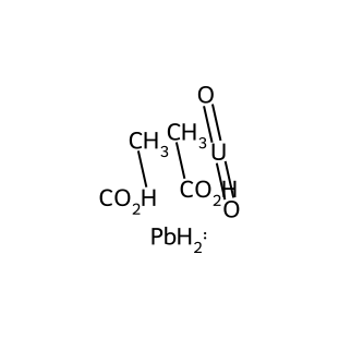 CC(=O)O.CC(=O)O.[O]=[U]=[O].[PbH2]